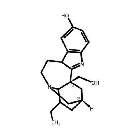 CCC1C[C@@H]2CN3CCC4C(=Nc5ccc(O)cc54)[C@](CO)(C2)C13